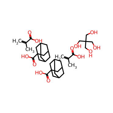 C=C(C)C(=O)O.C=C(C)C(=O)O.O=C(O)C12CC3CC(CC(C3)C1)C2.O=C(O)C12CC3CC(CC(C3)C1)C2.OCC(CO)(CO)CO